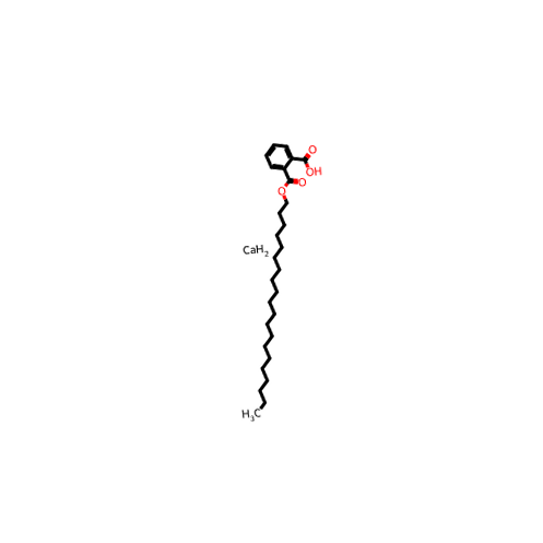 CCCCCCCCCCCCCCCCCCCCOC(=O)c1ccccc1C(=O)O.[CaH2]